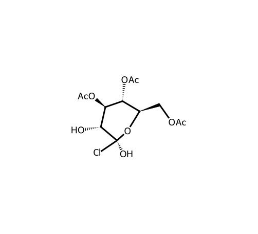 CC(=O)OC[C@H]1O[C@@](O)(Cl)[C@H](O)[C@@H](OC(C)=O)[C@@H]1OC(C)=O